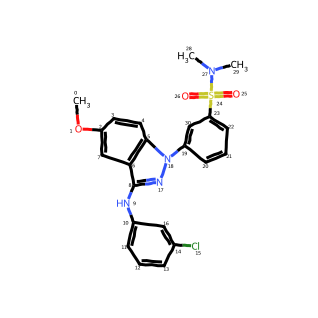 COc1ccc2c(c1)c(Nc1cccc(Cl)c1)nn2-c1cccc(S(=O)(=O)N(C)C)c1